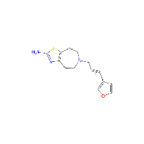 Nc1nc2c(s1)CCN(C/C=C/c1ccoc1)CC2